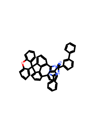 N#Cc1cccc(-c2cccc3c2-c2c(-c4nc(-c5ccccc5)nc(-c5cccc(-c6ccccc6)c5)n4)cccc2C32c3ccccc3Oc3ccccc32)c1